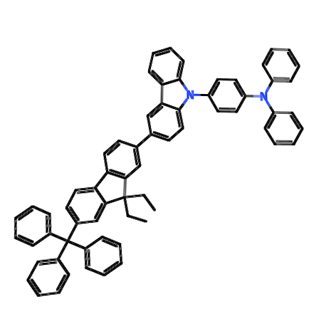 CCC1(CC)c2cc(-c3ccc4c(c3)c3ccccc3n4-c3ccc(N(c4ccccc4)c4ccccc4)cc3)ccc2-c2ccc(C(c3ccccc3)(c3ccccc3)c3ccccc3)cc21